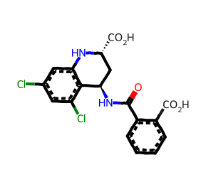 O=C(O)c1ccccc1C(=O)N[C@@H]1C[C@@H](C(=O)O)Nc2cc(Cl)cc(Cl)c21